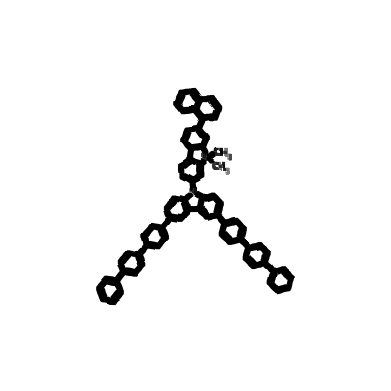 C[Si]1(C)c2cc(-c3cccc4ccccc34)ccc2-c2ccc(-n3c4ccc(-c5ccc(-c6ccc(-c7ccccc7)cc6)cc5)cc4c4cc(-c5ccc(-c6ccc(-c7ccccc7)cc6)cc5)ccc43)cc21